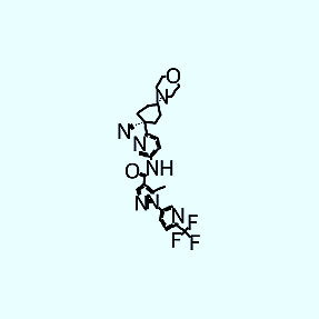 Cc1c(C(=O)Nc2ccc([C@]3(C#N)CC[C@@H](N4CCOCC4)CC3)nc2)cnn1-c1ccc(C(F)(F)F)nc1